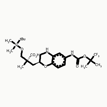 CC(C)(OC(=O)Nc1ccc2c(c1)NC[C@H](C[C@@](C)(CO[Si](C)(C)C(C)(C)C)C(=O)O)O2)C(F)(F)F